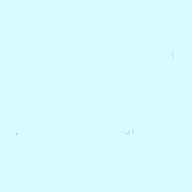 CC(C)(C)OC(=O)c1cc(-c2cccnc2)c[nH]1